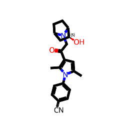 Cc1cc(C(=O)CN2C3CCC2[C@@H](O)C3)c(C)n1-c1ccc(C#N)cc1